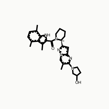 Cc1cn2nc([C@@H]3CCCCN3C(=O)c3[nH]c4c(C)ccc(C)c4c3C)cc2nc1N1CCC(O)C1